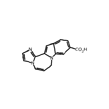 O=C(O)c1ccc2cc3n(c2c1)CC=Cn1ccnc1-3